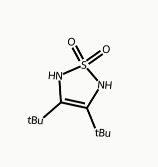 CC(C)(C)C1=C(C(C)(C)C)NS(=O)(=O)N1